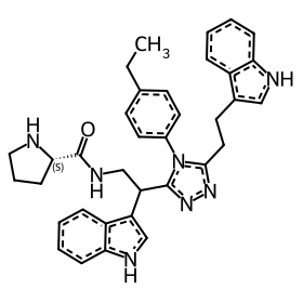 CCc1ccc(-n2c(CCc3c[nH]c4ccccc34)nnc2C(CNC(=O)[C@@H]2CCCN2)c2c[nH]c3ccccc23)cc1